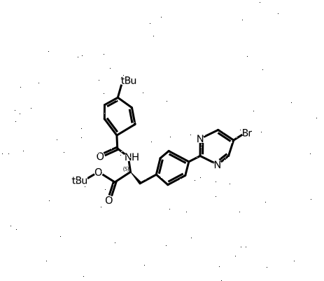 CC(C)(C)OC(=O)[C@H](Cc1ccc(-c2ncc(Br)cn2)cc1)NC(=O)c1ccc(C(C)(C)C)cc1